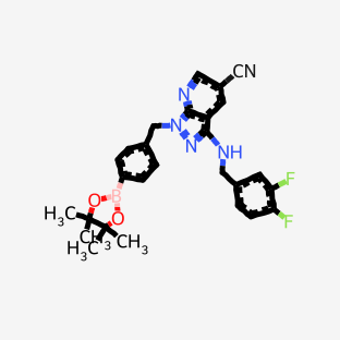 CC1(C)OB(c2ccc(Cn3nc(NCc4ccc(F)c(F)c4)c4cc(C#N)cnc43)cc2)OC1(C)C